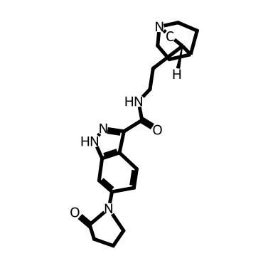 O=C(NCC[C@@H]1CN2CCC1CC2)c1n[nH]c2cc(N3CCCC3=O)ccc12